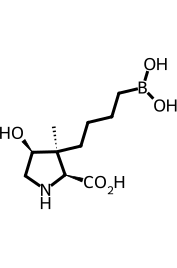 C[C@@]1(CCCCB(O)O)[C@H](O)CN[C@@H]1C(=O)O